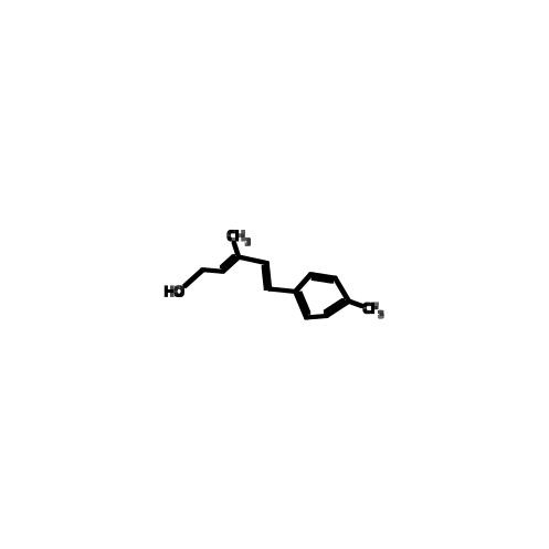 CC(C=Cc1ccc(C(F)(F)F)cc1)=CCO